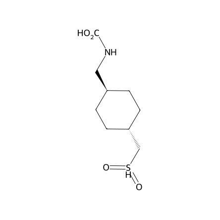 O=C(O)NC[C@H]1CC[C@H](C[SH](=O)=O)CC1